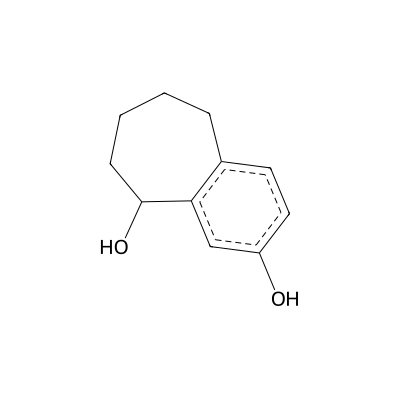 Oc1ccc2c(c1)C(O)CCCC2